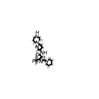 O=C(Nc1ccc(N2CCCNCC2)nc1)c1oc(N2CCCCC2)nc1C(F)(F)F